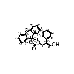 CCC1(OC(=O)OCC(=CO)c2ccccc2)c2ccccc2Oc2ccccc21